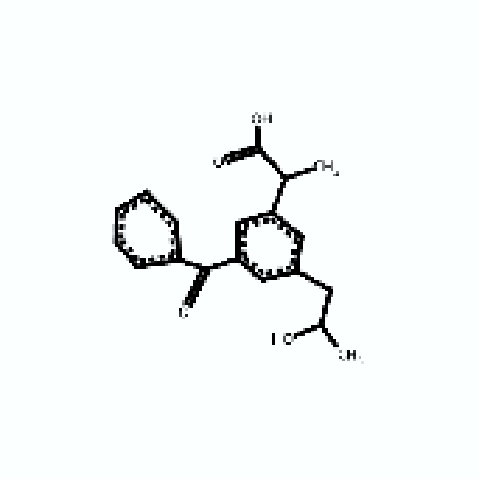 CC(O)Cc1cc(C(=O)c2ccccc2)cc(C(C)C(=O)O)c1